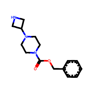 O=C(OCc1ccccc1)N1CCN(C2CNC2)CC1